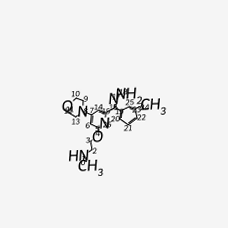 CNCCOc1cc(N2CCOCC2)cc(C(=NN)c2cccc(C)c2)n1